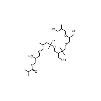 C=C(C)C(=O)OCC(O)COCC(C)CC(C)(CC)OCC(CO)C(C)(C)COCC(CO)OCC(C)CO